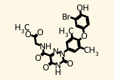 COC(=O)CNC(=O)c1nn(-c2cc(C)c(Oc3ccc(O)c(Br)c3)c(C)c2)c(=O)[nH]c1=O